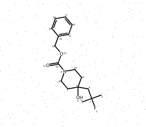 CC(C)(F)CC1(O)CCN(C(=O)OCc2ccccc2)CC1